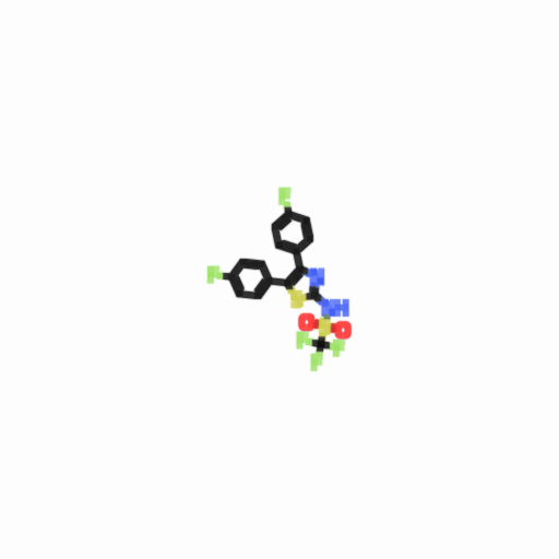 O=S(=O)(Nc1nc(-c2ccc(F)cc2)c(-c2ccc(F)cc2)s1)C(F)(F)F